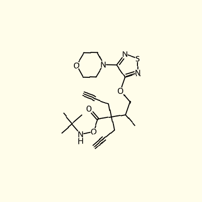 C#CCC(CC#C)(C(=O)ONC(C)(C)C)C(C)COc1nsnc1N1CCOCC1